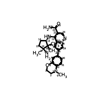 CN1CCOc2cc(-c3cc4c(N[C@@H]5CC[C@](C)(N)C5(C)C)c(C(N)=O)cnn4c3)ccc21